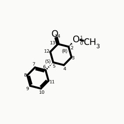 CO[C@@H]1CC[C@H](c2ccccc2)CC1=O